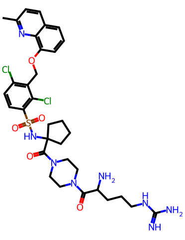 Cc1ccc2cccc(OCc3c(Cl)ccc(S(=O)(=O)NC4(C(=O)N5CCN(C(=O)C(N)CCCNC(=N)N)CC5)CCCC4)c3Cl)c2n1